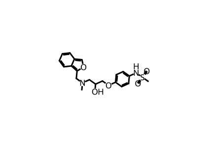 CN(Cc1occ2ccccc12)CC(O)COc1ccc(NS(C)(=O)=O)cc1